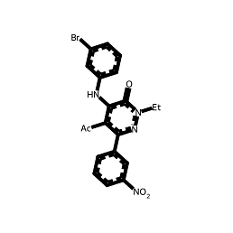 CCn1nc(-c2cccc([N+](=O)[O-])c2)c(C(C)=O)c(Nc2cccc(Br)c2)c1=O